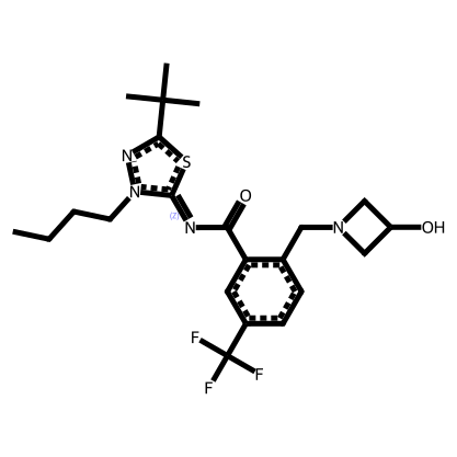 CCCCn1nc(C(C)(C)C)s/c1=N\C(=O)c1cc(C(F)(F)F)ccc1CN1CC(O)C1